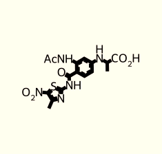 CC(=O)Nc1cc(NC(C)C(=O)O)ccc1C(=O)Nc1nc(C)c([N+](=O)[O-])s1